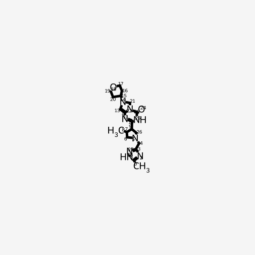 Cc1nc(CN2CC(C)C(C3=NC4=CN(C5CCOCC5)CN4C(=O)N3)C2)n[nH]1